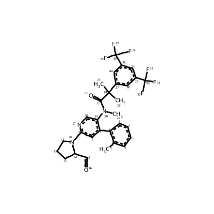 Cc1ccccc1-c1cc(N2CCCC2C=O)ncc1N(C)C(=O)C(C)(C)c1cc(C(F)(F)F)cc(C(F)(F)F)c1